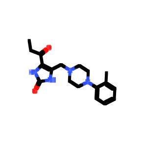 CCC(=O)c1[nH]c(=O)[nH]c1CN1CCN(c2ccccc2C)CC1